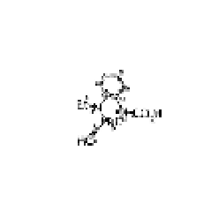 C#CCN(CC)c1ccccc1N(C)C(=O)O